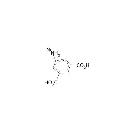 Nc1cc(C(=O)O)cc(C(=O)O)c1.[Ni]